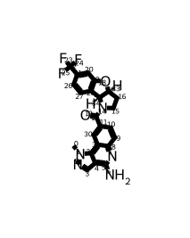 Cn1ncc2c(N)nc3ccc(C(=O)N4CC[C@@H]5Oc6cc(C(F)(F)F)ccc6[C@@H]54)cc3c21